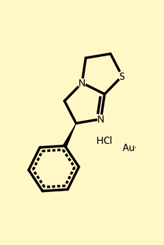 Cl.[Au].c1ccc([C@H]2CN3CCSC3=N2)cc1